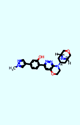 Cn1cc(-c2ccc(-c3cc4c(nn3)N([C@@H]3C[C@H]5COC[C@@H](C3)N5)CCO4)c(O)c2)cn1